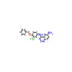 Nc1ccc2ncnc(Nc3ccc(OCc4ccccc4)c(Cl)c3)c2c1